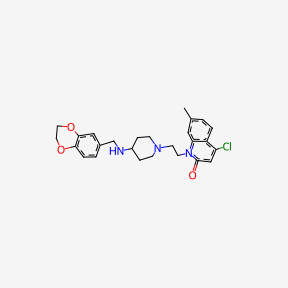 Cc1ccc2c(Cl)cc(=O)n(CCN3CCC(NCc4ccc5c(c4)OCCO5)CC3)c2c1